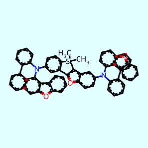 C[Si]1(C)c2ccc(N(c3ccccc3-c3ccccc3)c3cccc4oc5ccccc5c34)cc2-c2oc3ccc(N(c4ccccc4-c4ccccc4)c4cccc5oc6ccccc6c45)cc3c21